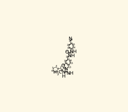 CC1(CC2CCCCC2)NC(=N)N(Cc2ccc(CNC(=O)Nc3ccc(C#N)cc3)cc2)C1=O